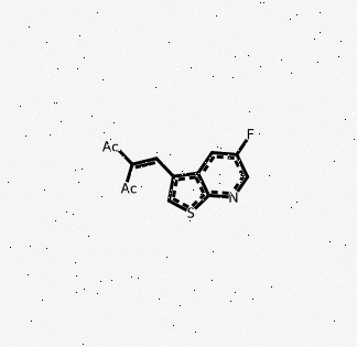 CC(=O)C(=Cc1csc2ncc(F)cc12)C(C)=O